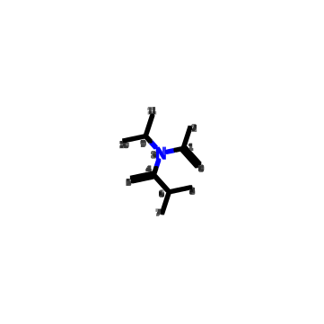 C=C(C)N(C(=C)C(C)C)C(C)C